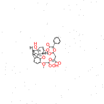 COc1ccc2c3c1O[C@H]1C(OC(=O)[C@@H](OC(=O)C[C@H](OC(C)=O)C(=O)O)c4ccccc4)=CC[C@@]4(O)[C@H](CCC[C@]314)C2